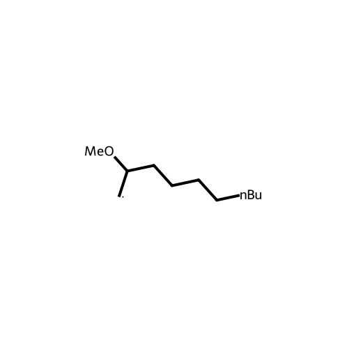 [CH2]C(CCCCCCCC)OC